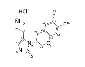 Cl.NCCC1=C[N]C(=S)N1[C@H]1COc2cc(F)c(F)cc2C1